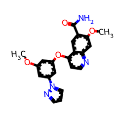 COc1cc(Oc2ccnc3cc(OC)c(C(N)=O)cc23)cc(-n2cccn2)c1